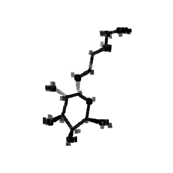 CONNCCO[C@@H]1O[C@@H](C)[C@@H](O)[C@@H](O)[C@@H]1O